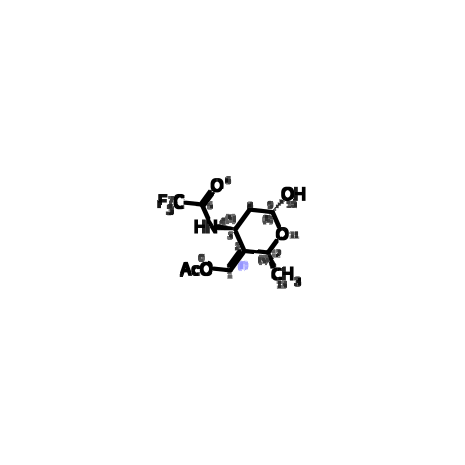 CC(=O)O/C=C1\[C@@H](NC(=O)C(F)(F)F)C[C@H](O)O[C@H]1C